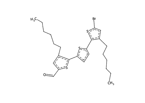 CCCCCCc1cc(Br)sc1-c1ccc(-c2sc(C=O)cc2CCCCCC)s1